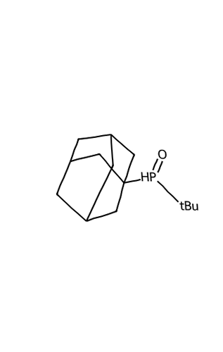 CC(C)(C)[PH](=O)C12CC3CC(CC(C3)C1)C2